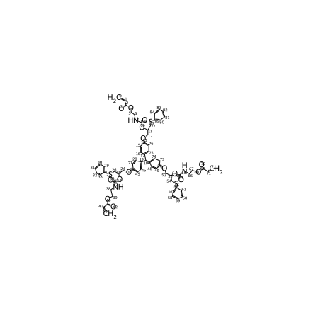 C=CC(=O)OCCNC(=O)OC(COc1ccc(C(c2ccc(OCC(CSc3ccccc3)OC(=O)NCCOC(=O)C=C)cc2)c2ccc(OCC(CSc3ccccc3)OC(=O)NCCOC(=O)C=C)cc2)cc1)CSc1ccccc1